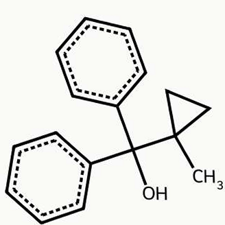 CC1(C(O)(c2ccccc2)c2ccccc2)CC1